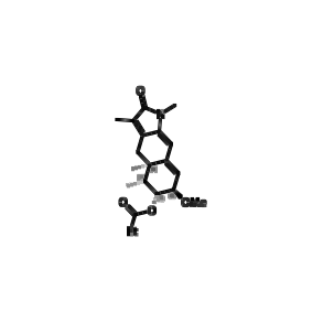 CCC(=O)O[C@H]1[C@H](OC)C=C2C=C3C(=C(C)C(=O)N3C)C[C@]2(C)[C@H]1C